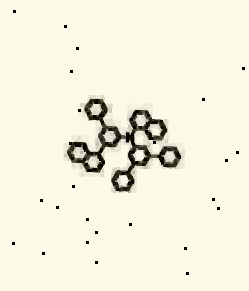 c1ccc(-c2cc(-c3ccccc3)cc(N(c3cc(-c4ccccc4)cc(-c4cccc5ccccc45)c3)c3cccc4ccccc34)c2)cc1